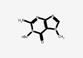 CCCCn1c(N)nc2ncn(C)c2c1=O